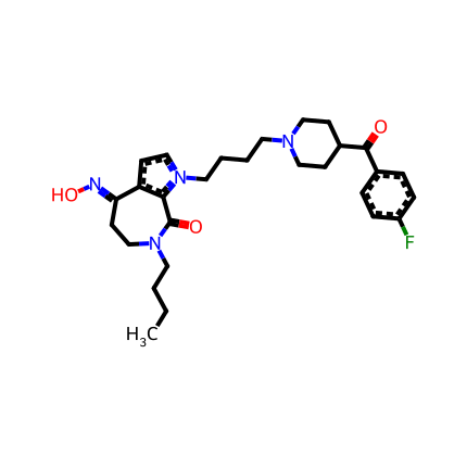 CCCCN1CCC(=NO)c2ccn(CCCCN3CCC(C(=O)c4ccc(F)cc4)CC3)c2C1=O